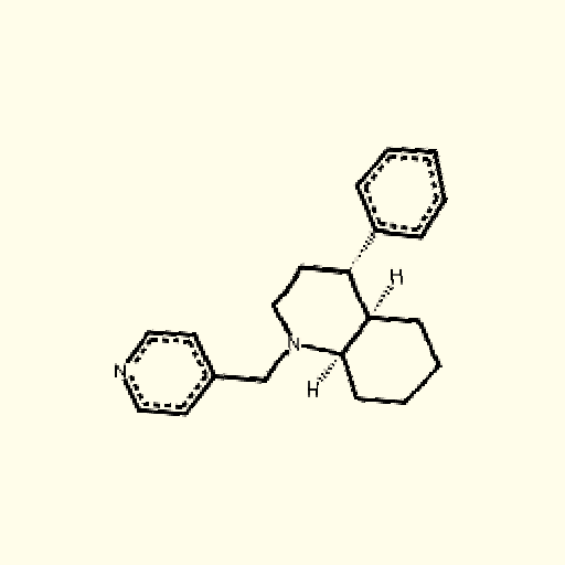 c1ccc([C@H]2CCN(Cc3ccncc3)[C@@H]3CCCC[C@H]23)cc1